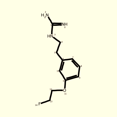 N=C(N)NCCc1cccc(OCCF)c1